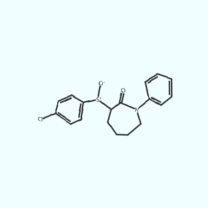 O=C1C([S+]([O-])c2ccc(Cl)cc2)CCCCN1c1ccccc1